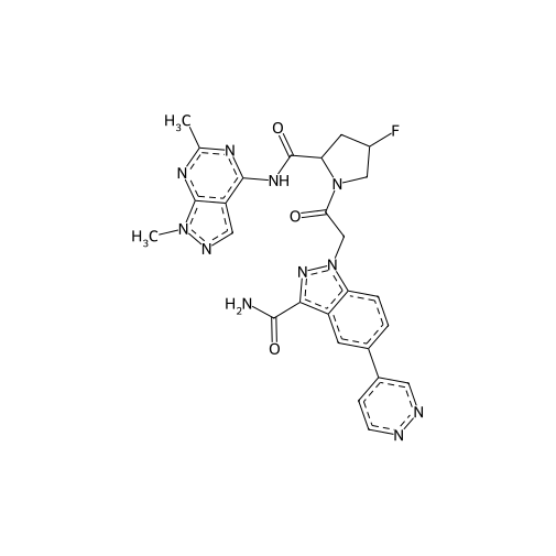 Cc1nc(NC(=O)C2CC(F)CN2C(=O)Cn2nc(C(N)=O)c3cc(-c4ccnnc4)ccc32)c2cnn(C)c2n1